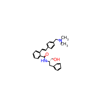 CN(C)Cc1ccc(/C=C/c2ccccc2C(=O)N[C@H](CO)Cc2ccccc2)cc1